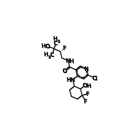 CC(C)(O)[C@H](F)CNC(=O)c1cnc(Cl)cc1NC1CCCC(F)(F)C1O